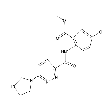 COC(=O)c1cc(Cl)ccc1NC(=O)c1ccc(N2CCNC2)nn1